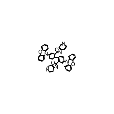 c1ccc2c(c1)Oc1ccccc1N2c1ccc(-c2ccc(N3c4ccccc4Oc4ccccc43)cc2-c2nc3ccncc3o2)c(-c2nc3ccncc3o2)c1